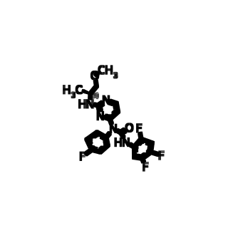 COC[C@H](C)Nc1nccc(N(C(=O)Nc2cc(F)c(F)cc2F)c2ccc(F)cc2)n1